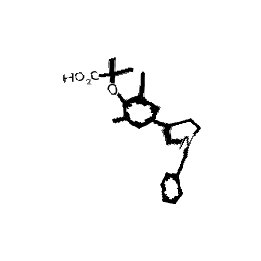 Cc1cc(C2CCN(Cc3ccccc3)C2)cc(C)c1OC(C)(C)C(=O)O